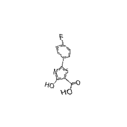 O=C(O)c1sc(-c2ccc(F)cc2)nc1O